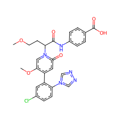 COCCC(C(=O)Nc1ccc(C(=O)O)cc1)n1cc(OC)c(-c2cc(Cl)ccc2-n2cnnc2)cc1=O